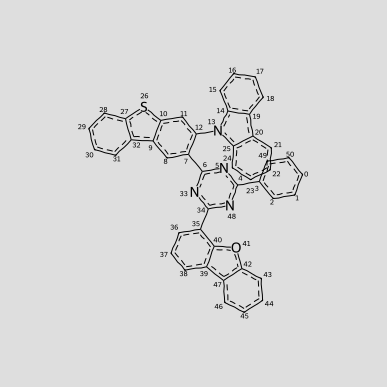 c1ccc(-c2nc(-c3cc4c(cc3-n3c5ccccc5c5ccccc53)sc3ccccc34)nc(-c3cccc4c3oc3ccccc34)n2)cc1